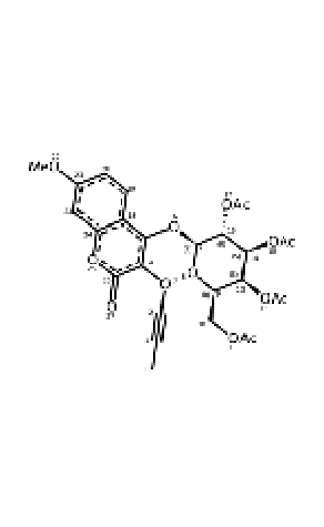 CC#COc1c(O[C@@H]2O[C@H](COC(C)=O)[C@H](OC(C)=O)[C@H](OC(C)=O)[C@H]2OC(C)=O)c2ccc(OC)cc2oc1=O